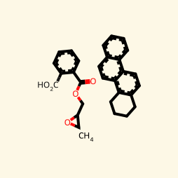 C.O=C(O)c1ccccc1C(=O)OCC1CO1.c1ccc2c(c1)ccc1c3c(ccc12)CCCC3